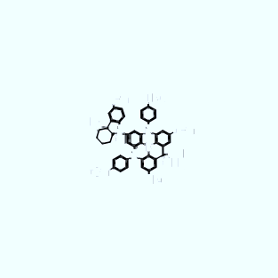 CC(C)(C)c1ccc(N2c3cc(N4c5ccc(C(C)(C)C)cc5C5(C)CCCCC45C)cc4c3B3c5c2cc(C(C)(C)C)cc5C(C)(C)c2cc(C(C)(C)C)cc(c23)N4c2ccc(C(C)(C)C)cc2)cc1